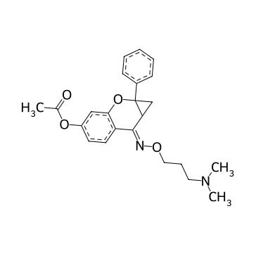 CC(=O)Oc1ccc2c(c1)OC1(c3ccccc3)CC1C2=NOCCCN(C)C